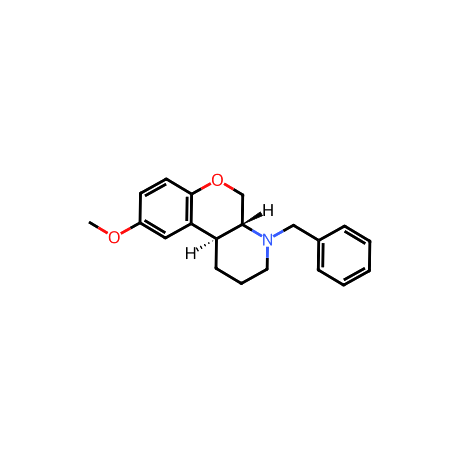 COc1ccc2c(c1)[C@@H]1CCCN(Cc3ccccc3)[C@H]1CO2